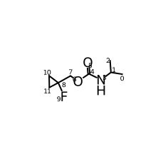 CC(C)NC(=O)OCC1(F)CC1